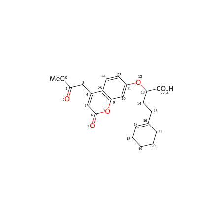 COC(=O)Cc1cc(=O)oc2cc(OC(CCC3=CCCCC3)C(=O)O)ccc12